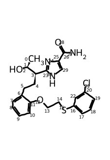 C[C@H](O)[C@H](CCc1ccccc1OCCSc1cccc(Cl)c1)c1nc(C(N)=O)c[nH]1